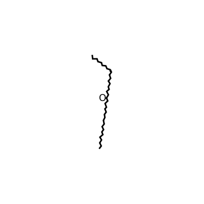 CCCCCCCC/C=C\CCCCCCCCC(=O)CCCCCCCCCCCCCCCCCC